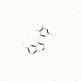 CCOc1cc2c(Nc3cc(OC)cc(Cl)c3Cl)c(C#N)cnc2cc1N